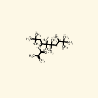 C=C(C)C(=O)OC(CC(C)(C)N)C(C)(C)C(C)(C)CC(O)C(C)(C)N